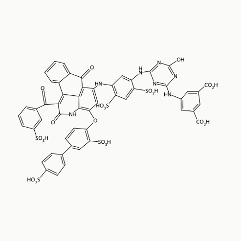 O=C(O)c1cc(Nc2nc(O)nc(Nc3cc(Nc4cc(Oc5ccc(-c6ccc(S(=O)(=O)O)cc6)cc5S(=O)(=O)O)c5[nH]c(=O)c(C(=O)c6cccc(S(=O)(=O)O)c6)c6c5c4C(=O)c4ccccc4-6)c(S(=O)(=O)O)cc3S(=O)(=O)O)n2)cc(C(=O)O)c1